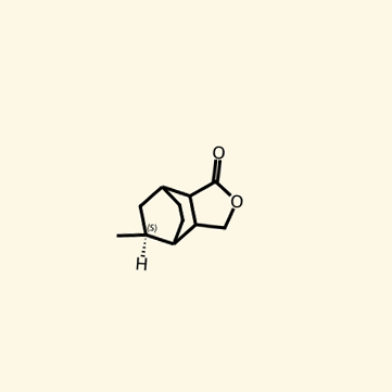 C[C@H]1CC2CCC1C1COC(=O)C21